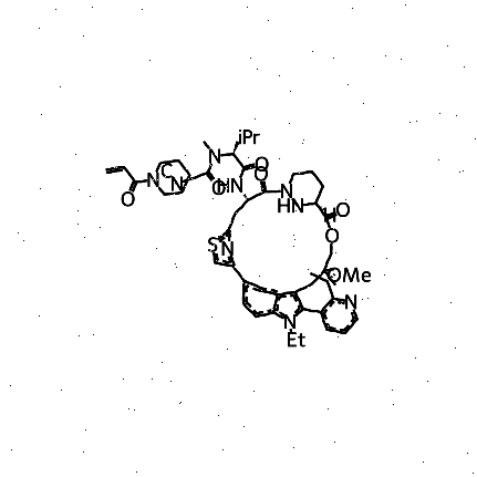 C=CC(=O)N1CC2CCC1CN2C(=O)N(C)[C@H](C(=O)N[C@H]1Cc2nc(cs2)-c2ccc3c(c2)c(c(-c2cccnc2[C@H](C)OC)n3CC)CC(C)(C)COC(=O)[C@@H]2CCCN(N2)C1=O)C(C)C